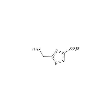 CCCCCCCc1ncc(C(=O)OCC)s1